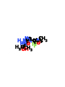 CC(C1CC1)N1Cc2cc(-c3ccn4nc(N)c(C(=O)NCCC(C)(C)O)c4n3)cc(C(F)(F)F)c2C1=O